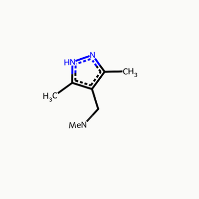 CNCc1c(C)n[nH]c1C